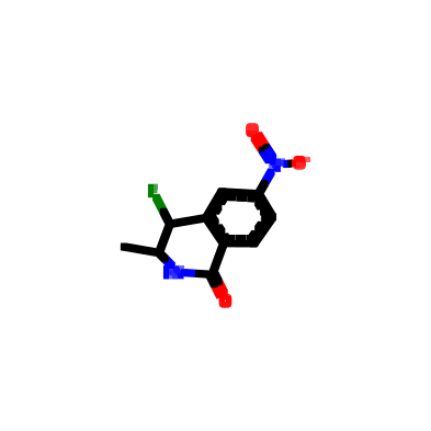 CC1NC(=O)c2ccc([N+](=O)[O-])cc2C1F